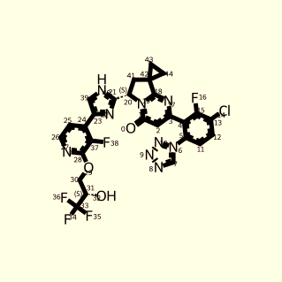 O=c1cc(-c2c(-n3cnnn3)ccc(Cl)c2F)nc2n1[C@H](c1nc(-c3ccnc(OC[C@H](O)C(F)(F)F)c3F)c[nH]1)CC21CC1